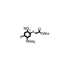 COC(=O)CSc1cc(NC(C)=O)c(F)cc1[N+](=O)[O-]